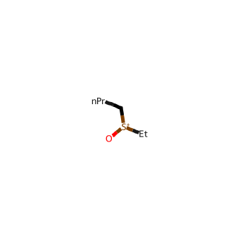 CCCC[S+]([O-])CC